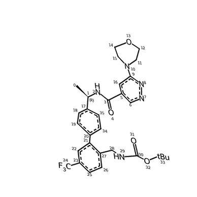 C[C@@H](NC(=O)c1cnnc(N2CCOCC2)c1)c1ccc(-c2cc(C(F)(F)F)ccc2CNC(=O)OC(C)(C)C)cc1